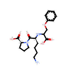 NCCCC[C@H](NC(COc1ccccc1)C(=O)O)C(=O)N1CCC[C@H]1C(=O)O